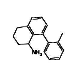 Cc1ccccc1-c1cccc2c1C(N)CCC2